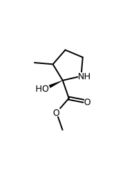 COC(=O)[C@@]1(O)NCCC1C